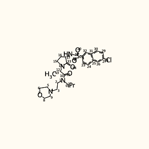 CC(C)N(CCN1CCOCC1)C(=O)[C@H](C)N1CC[C@H](NS(=O)(=O)c2ccc3cc(Cl)ccc3c2)C1=O